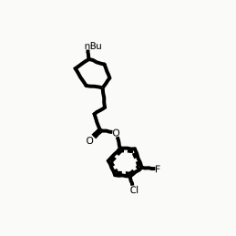 CCCCC1CCC(CCC(=O)Oc2ccc(Cl)c(F)c2)CC1